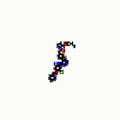 COC[C@@H]1CCCN1C(=O)Cc1ccc2c(c1)sc1ncnc(Nc3ccc(OCc4ccccn4)c(Cl)c3)c12